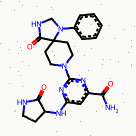 NC(=O)c1cc(NC2CCNC2=O)nc(N2CCC3(CC2)C(=O)NCN3c2ccccc2)n1